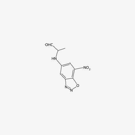 CC([C]=O)Nc1cc([N+](=O)[O-])c2onnc2c1